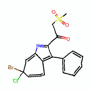 CS(=O)(=O)CC(=O)C1=NC2=CC(Cl)(Br)C=CC2=C1c1ccccc1